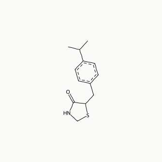 CC(C)c1ccc(CC2SCNC2=O)cc1